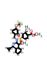 COC(=O)c1ccc(S(=O)(=O)N(Cc2ccc(OC(F)(F)F)cc2)c2nc(C3CC3)c3ccccc3c2C)cc1C